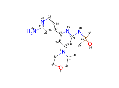 C[C@@H]1COCCN1c1cc(N=S(C)(C)=O)nc(-c2ccnc(N)c2)c1